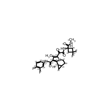 CNC(=O)C1(NC(=O)C(=O)c2c(C)c(C(=O)Nc3ccc(F)c(F)c3)c3n2CCC2C[C@@H]32)CC(F)(F)C1